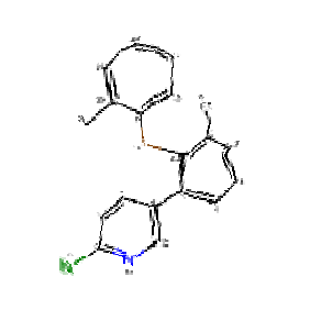 CCc1cccc(-c2ccc(Br)nc2)c1Sc1ccccc1C